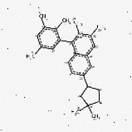 Cc1cc(C)c(C)c(-c2c3ccc(C4CCC(C)(C)C4)cc3cc(C)[n+]2C)c1